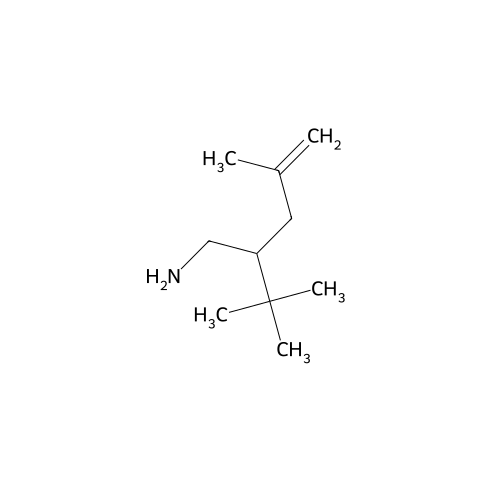 C=C(C)CC(CN)C(C)(C)C